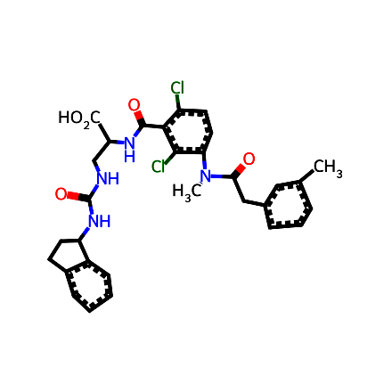 Cc1cccc(CC(=O)N(C)c2ccc(Cl)c(C(=O)NC(CNC(=O)NC3CCc4ccccc43)C(=O)O)c2Cl)c1